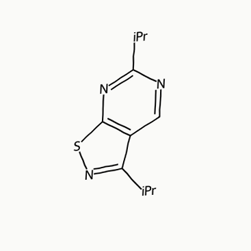 CC(C)c1ncc2c(C(C)C)nsc2n1